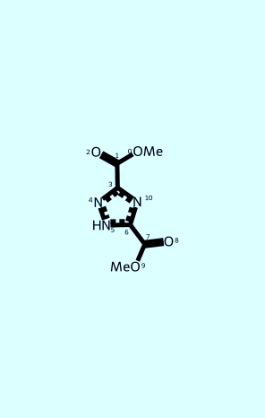 COC(=O)c1n[nH]c(C(=O)OC)n1